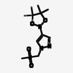 CC1(C)OB(c2cnn(CS(C)(=O)=O)c2)OC1(C)C